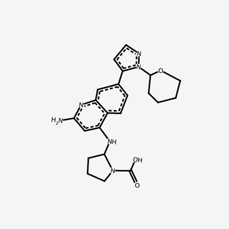 Nc1cc(NC2CCCN2C(=O)O)c2ccc(-c3ccnn3C3CCCCO3)cc2n1